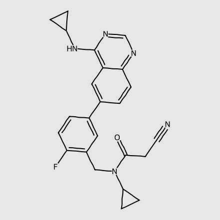 N#CCC(=O)N(Cc1cc(-c2ccc3ncnc(NC4CC4)c3c2)ccc1F)C1CC1